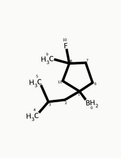 BC1(CC(C)C)CCC(C)(F)C1